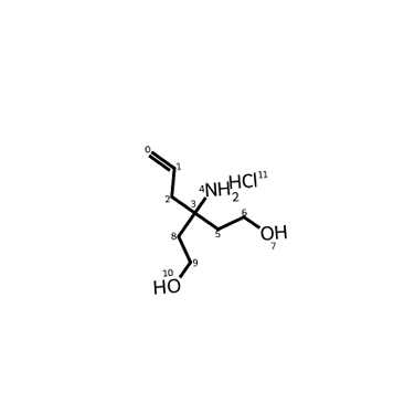 C=CCC(N)(CCO)CCO.Cl